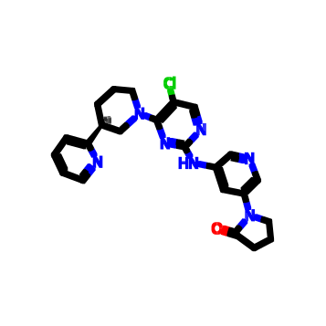 O=C1CCCN1c1cncc(Nc2ncc(Cl)c(N3CCC[C@H](c4ccccn4)C3)n2)c1